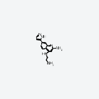 NCCNc1cc(N)nc2cc(-c3ccn[nH]3)ccc12